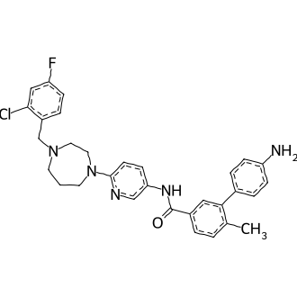 Cc1ccc(C(=O)Nc2ccc(N3CCCN(Cc4ccc(F)cc4Cl)CC3)nc2)cc1-c1ccc(N)cc1